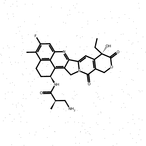 CC[C@@]1(O)C(=O)OCc2c1cc1n(c2=O)Cc2c-1nc1cc(F)c(C)c3c1c2[C@@H](NC(=O)[C@H](C)CN)CC3